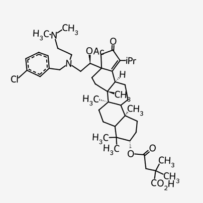 CC(=O)O[C@H](CN(CCN(C)C)Cc1cccc(Cl)c1)C12CC[C@]3(C)[C@H](CCC4[C@@]5(C)CC[C@H](OC(=O)CC(C)(C)C(=O)O)C(C)(C)C5CC[C@]43C)C1=C(C(C)C)C(=O)C2